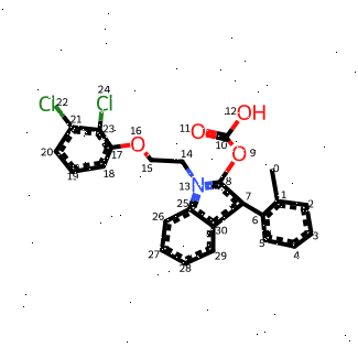 Cc1ccccc1-c1c(OC(=O)O)n(CCOc2cccc(Cl)c2Cl)c2ccccc12